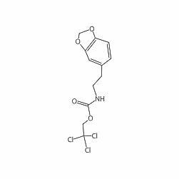 O=C(NCCc1ccc2c(c1)OCO2)OCC(Cl)(Cl)Cl